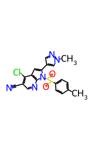 Cc1ccc(S(=O)(=O)n2c(-c3cnn(C)c3)cc3c(Cl)c(C#N)cnc32)cc1